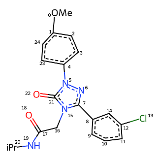 COc1ccc(-n2nc(-c3cccc(Cl)c3)n(CC(=O)NC(C)C)c2=O)cc1